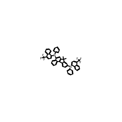 CC1(C)c2cc(N(c3ccccc3)c3ccc(C(F)(F)F)c4ccccc34)ccc2-c2c1cc(N(c1ccccc1)c1ccc(C(F)(F)F)c3ccccc13)c1ccccc21